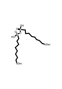 CCCCCCCCCCCCCCCCCCP(=O)(O)OP(=O)(O)CCCCCCCCCCCCCCCCCC